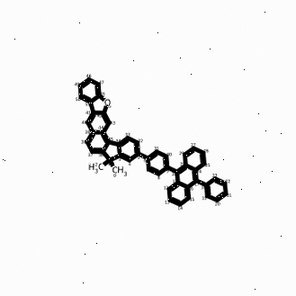 CC1(C)c2cc(-c3ccc(-c4c5ccccc5c(-c5ccccc5)c5ccccc45)cc3)ccc2-c2c1ccc1cc3c(cc21)oc1ccccc13